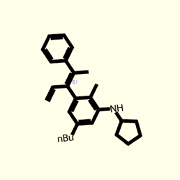 C=C/C(=C(/C)c1ccccc1)c1cc(CCCC)cc(NC2CCCC2)c1C